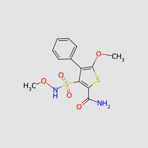 CONS(=O)(=O)c1c(C(N)=O)sc(OC)c1-c1ccccc1